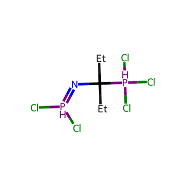 CCC(CC)(N=[PH](Cl)Cl)[PH](Cl)(Cl)Cl